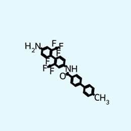 Cc1ccc(-c2ccc(C(=O)Nc3ccc(-c4ccc(N)cc4C(F)(F)F)c(C(F)(F)F)c3)cc2)cc1